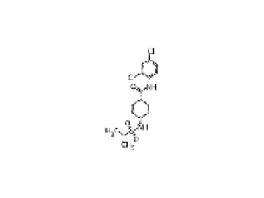 CC(C)S(=O)(=O)N[C@H]1CC[C@H](C(=O)Nc2ccc(Cl)cc2Cl)CC1